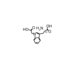 N[C@@H](Cc1cn(CC(=O)O)c2ccccc12)C(=O)O